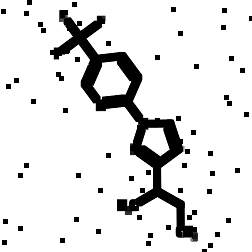 CCC(C)c1[c]cn(-c2ccc(C(F)(F)F)cn2)n1